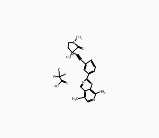 Cc1cnc(N)c2nc(-c3cccc(C#C[C@]4(O)CCN(C)C4=O)c3)ncc12.O=C(O)C(F)(F)F